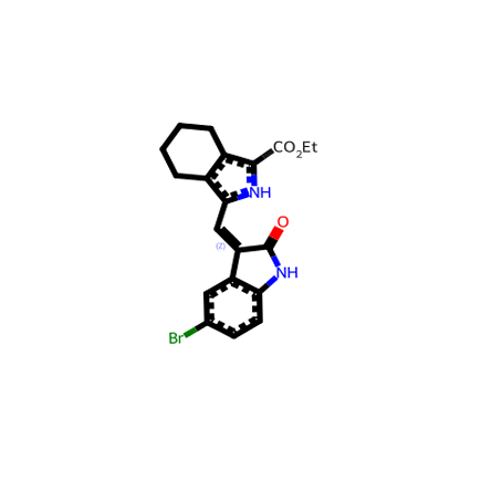 CCOC(=O)c1[nH]c(/C=C2\C(=O)Nc3ccc(Br)cc32)c2c1CCCC2